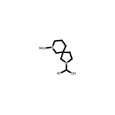 CSN1CCCC2(CCN(C(O)C(C)C)C2)C1